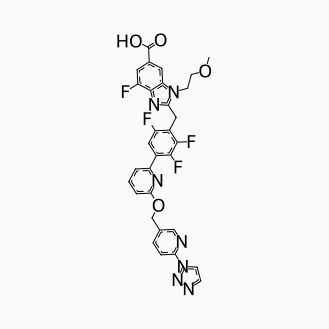 COCCn1c(Cc2c(F)cc(-c3cccc(OCc4ccc(-n5ccnn5)nc4)n3)c(F)c2F)nc2c(F)cc(C(=O)O)cc21